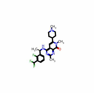 Cc1nc(N[C@H](C)c2cccc(C(F)F)c2F)c2cc(C3CCN(C)CC3)n(C)c(=O)c2n1